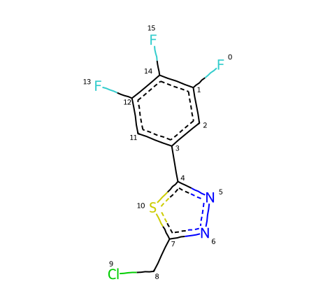 Fc1cc(-c2nnc(CCl)s2)cc(F)c1F